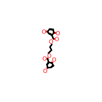 O=C1C=CC(=O)C(C(=O)OCCCCOC(=O)C2=CC(=O)C=CC2=O)=C1